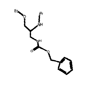 CCOCC(CNC(=O)OCc1ccccc1)NC(C)C